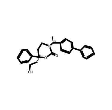 C[C@@H](c1ccc(-c2ccccc2)cc1)N1CC[C@](CCO)(c2ccccc2)OC1=O